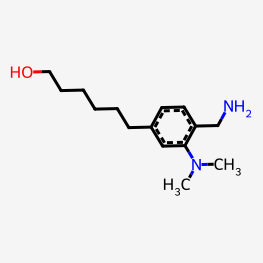 CN(C)c1cc(CCCCCCO)ccc1CN